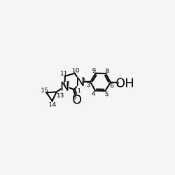 O=C1N(c2ccc(O)cc2)CCN1C1CC1